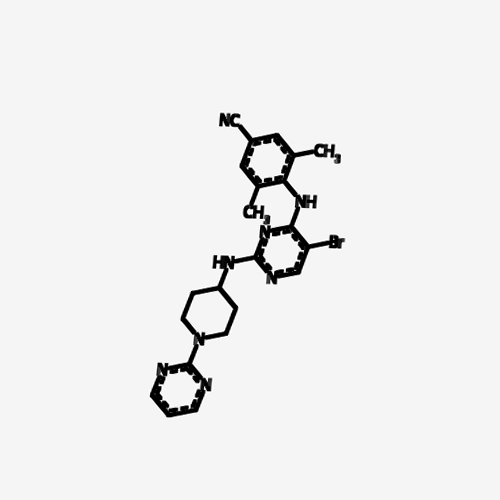 Cc1cc(C#N)cc(C)c1Nc1nc(NC2CCN(c3ncccn3)CC2)ncc1Br